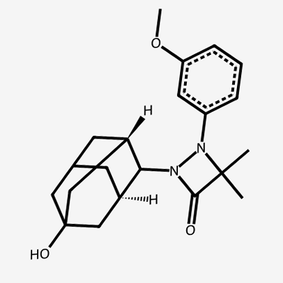 COc1cccc(N2N(C3[C@@H]4CC5C[C@H]3CC(O)(C5)C4)C(=O)C2(C)C)c1